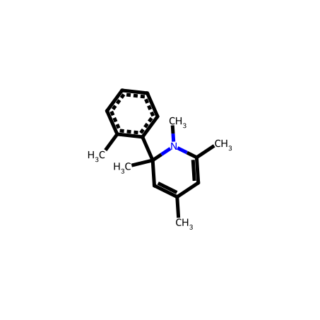 CC1=CC(C)(c2ccccc2C)N(C)C(C)=C1